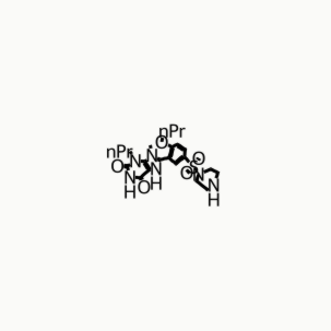 CCCOc1ccc(S(=O)(=O)N2CCNCC2)cc1C1Nc2c(n(CCC)c(=O)[nH]c2=O)N1C